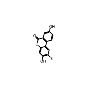 O=c1oc2cc(O)c(Br)cc2c2ccc(O)cc12